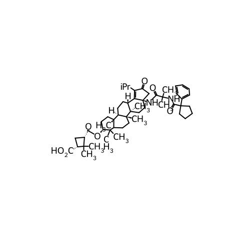 CC(C)C1=C2[C@H]3CC[C@@H]4[C@@]5(C)CC[C@H](OC(=O)[C@H]6C[C@@H](C(=O)O)C6(C)C)C(C)(C)C5CC[C@@]4(C)[C@]3(C)CC[C@@]2(NC(=O)C(C)(C)NC(=O)C2(c3ccccc3)CCCC2)CC1=O